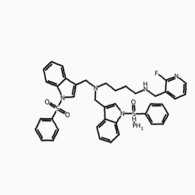 O=S(=O)(c1ccccc1)n1cc(CN(CCCCNCc2cccnc2F)Cc2cn([SH](=O)(P)c3ccccc3)c3ccccc23)c2ccccc21